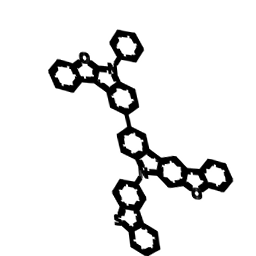 c1ccc(-n2c3ccc(-c4ccc5c(c4)c4cc6c(cc4n5-c4ccc5sc7ccccc7c5c4)oc4ccccc46)cc3c3c4ccccc4oc32)cc1